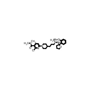 COc1ccccc1[C@@]1(NN(C)CCCC2CCN(c3ccc(C(=O)N(C)C)c(Cl)n3)CC2)CCCO1